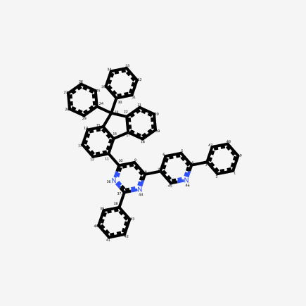 c1ccc(-c2ccc(-c3cc(-c4cccc5c4-c4ccccc4C5(c4ccccc4)c4ccccc4)nc(-c4ccccc4)n3)cn2)cc1